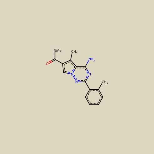 CNC(=O)c1cn2nc(-c3ccccc3C)nc(N)c2c1C